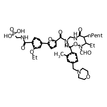 CCCCCC(C(=O)NCNC(=O)c1ccc(-c2ccc(C(=O)NCP(=O)(O)O)c(OCC)c2)o1)C(CC)N(C=O)OC(=O)c1ccc(CN2CCOCC2)cc1C